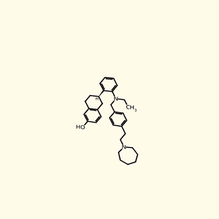 CCN(Cc1ccc(CCN2CCCCCC2)cc1)c1ccccc1[C@@H]1CCc2cc(O)ccc2C1